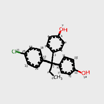 CCC(c1ccc(O)cc1)(c1ccc(O)cc1)c1ccc(Cl)cc1